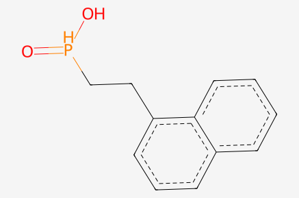 O=[PH](O)CCc1cccc2ccccc12